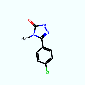 Cn1c(-c2ccc(Cl)cc2)n[nH]c1=O